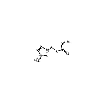 CCCCOC(=O)OCN1C=CN(C)C1